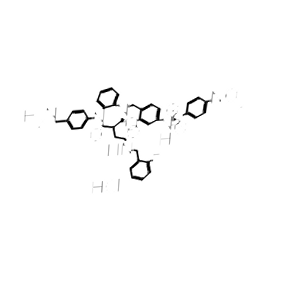 Cl.NCc1ccc(N2C(=O)C(CC(=O)NCc3ccccc3F)C(=O)N(Cc3ccc(NS(=O)(=O)c4ccc([N+](=O)[O-])cc4)cc3)c3ccccc32)cc1